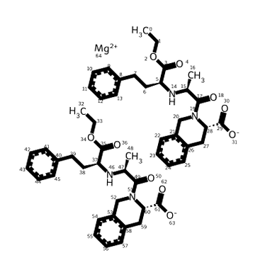 CCOC(=O)[C@H](CCc1ccccc1)N[C@@H](C)C(=O)N1Cc2ccccc2C[C@H]1C(=O)[O-].CCOC(=O)[C@H](CCc1ccccc1)N[C@@H](C)C(=O)N1Cc2ccccc2C[C@H]1C(=O)[O-].[Mg+2]